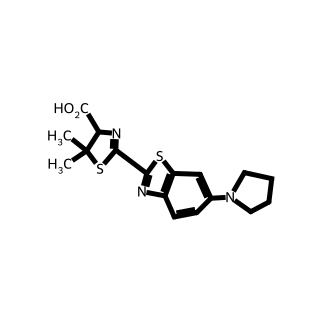 CC1(C)SC(c2nc3ccc(N4CCCC4)cc3s2)=NC1C(=O)O